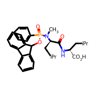 CC(C)C[C@H](C(=O)N[C@H](CC(C)C)C(=O)O)N(C)[P@@](=O)(OC1c2ccccc2-c2ccccc21)c1ccccc1